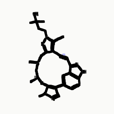 Cc1c2c(nn1CCC(C)(C)O)CN(C)C[C@H](C)Oc1c(cnn1C)-c1ccc3[nH]nc(c3c1)/C=C/2